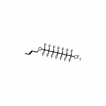 CC=CCOC(F)(F)C(F)(F)C(F)(F)C(F)(F)C(F)(F)C(F)(F)C(F)(F)C(F)(F)F